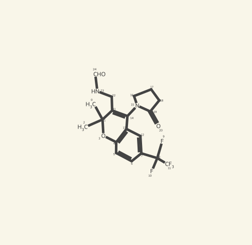 CC1(C)Oc2ccc(C(F)(F)C(F)(F)F)cc2C(N2CCCC2=O)=C1CNC=O